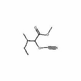 CCC(C)C(OC#N)C(=O)OC